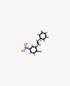 Cc1ccc([N+](=O)[O-])cc1/C=C/c1ccccc1